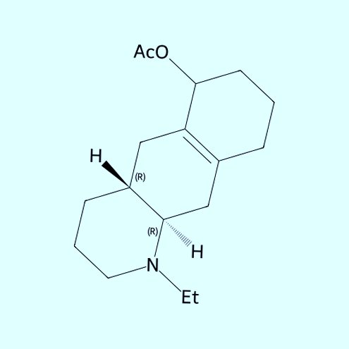 CCN1CCC[C@@H]2CC3=C(CCCC3OC(C)=O)C[C@H]21